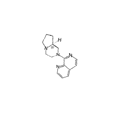 c1cnc2c(N3CCN4CCC[C@H]4C3)nccc2c1